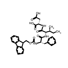 CC[C@H](C)[C@H](NC(=O)[C@H](Cc1ccccc1)NC(=O)OCC1c2ccccc2-c2ccccc21)C(=O)N[C@@H](CC(=O)O)C(=O)O